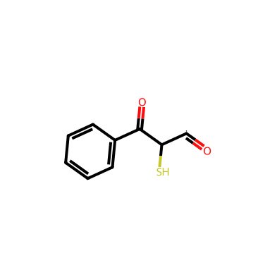 O=[C]C(S)C(=O)c1ccccc1